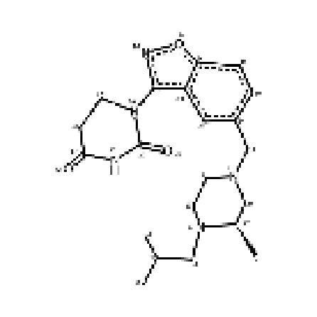 CC(C)CN1CCN(Cc2ccc3onc(N4CCC(=O)NC4=O)c3c2)C[C@H]1C